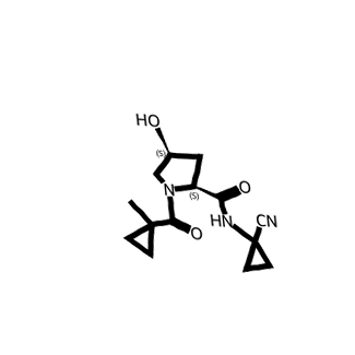 CC1(C(=O)N2C[C@@H](O)C[C@H]2C(=O)NC2(C#N)CC2)CC1